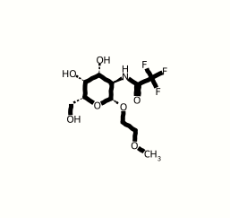 COCCO[C@@H]1O[C@H](CO)[C@H](O)[C@H](O)[C@H]1NC(=O)C(F)(F)F